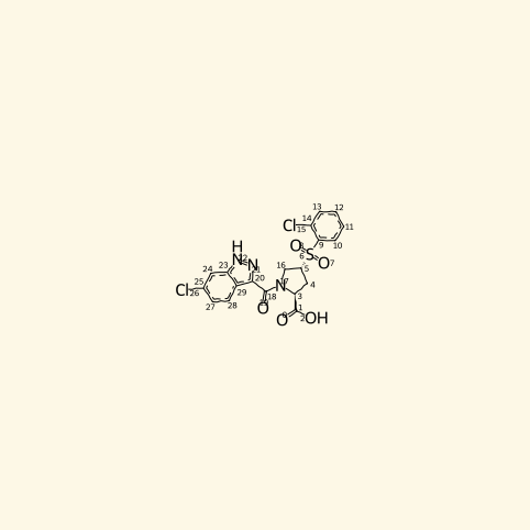 O=C(O)[C@@H]1C[C@@H](S(=O)(=O)c2ccccc2Cl)CN1C(=O)c1n[nH]c2cc(Cl)ccc12